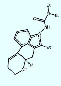 CCc1c2c3c(cccc3n1NC(=O)N(CC)CC)C1=CCCN[C@@H]1C2